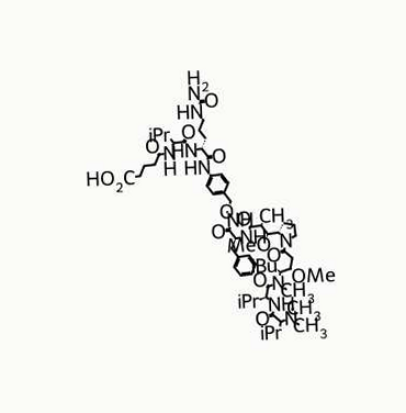 CC[C@H](C)[C@@H]([C@@H](CC(=O)N1CCC[C@H]1[C@H](OC)[C@@H](C)C(=O)N[C@@H](Cc1ccccc1)C(=O)NOCc1ccc(NC(=O)[C@@H](CCCNC(N)=O)NC(=O)C(NC(=O)CCCC(=O)O)C(C)C)cc1)OC)N(C)C(=O)[C@@H](NC(=O)C(C(C)C)N(C)C)C(C)C